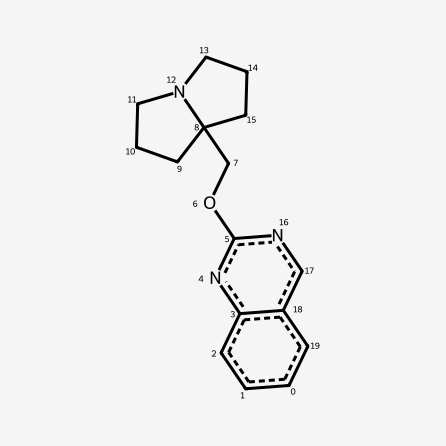 c1ccc2nc(OCC34CCCN3CCC4)ncc2c1